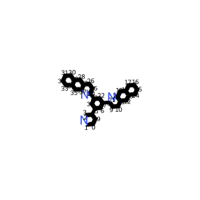 c1cncc(-c2cc(-c3ccc4cc5ccccc5cc4n3)cc(-c3ccc4cc5ccccc5cc4n3)c2)c1